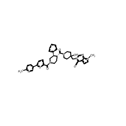 Cc1ccc(-c2ccc(C(=O)N3CC[C@@H](C(=O)N4CCC(O)(Cn5cnc6c(ccn6C)c5=O)CC4)[C@H](c4ccccc4)C3)s2)cn1